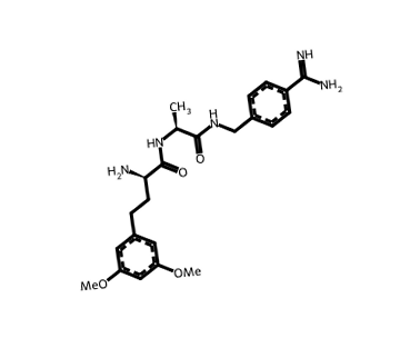 COc1cc(CC[C@@H](N)C(=O)N[C@@H](C)C(=O)NCc2ccc(C(=N)N)cc2)cc(OC)c1